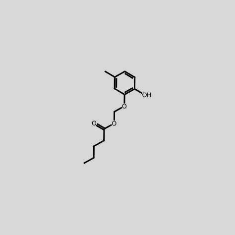 CCCCC(=O)OCOc1cc(C)ccc1O